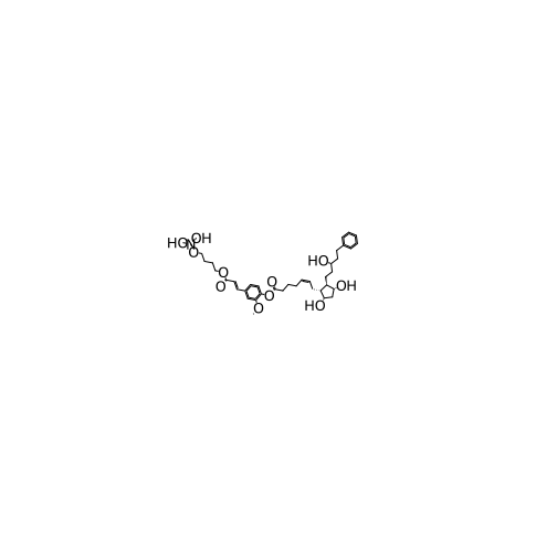 COc1cc(/C=C/C(=O)OCCCCON(O)O)ccc1OC(=O)CCC/C=C\C[C@@H]1[C@@H](CC[C@@H](O)CCc2ccccc2)[C@H](O)C[C@@H]1O